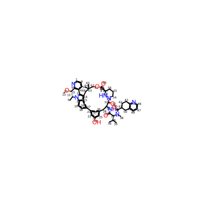 CCn1c(-c2cccnc2[C@H](C)OC)c2c3cc(ccc31)-c1cc(O)cc(c1)C[C@H](NC(=O)[C@H](C(C)C)N(C)C(=O)C1CCc3ncccc3C1)C(=O)N1CCC[C@H](N1)C(=O)OCC(C)(C)C2